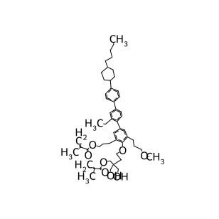 C=C(C)C(=O)OCCCc1cc(-c2ccc(-c3ccc(C4CCC(CCCCC)CC4)cc3)cc2CC)cc(CCCOC)c1OCCC(CO)(CO)COC(=O)C(=C)C